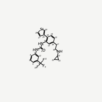 O=C(Nc1cccc(C(F)(F)F)c1)Nc1cc(CCNC2CC2)ccc1-c1ccsc1